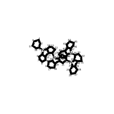 c1ccc(-n2c3ccccc3c3c(-n4c5ccccc5c5cc(-n6c7ccccc7c7cccc(-n8c9ccccc9c9ccccc98)c76)ccc54)cccc32)cc1